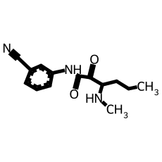 CCCC(NC)C(=O)C(=O)Nc1cccc(C#N)c1